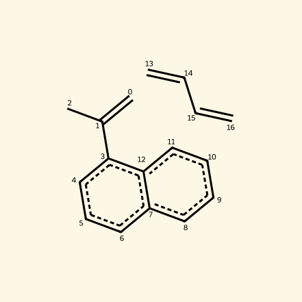 C=C(C)c1cccc2ccccc12.C=CC=C